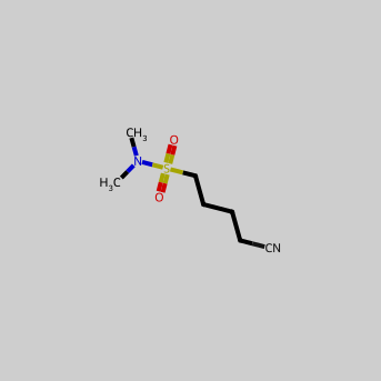 CN(C)S(=O)(=O)CCCCC#N